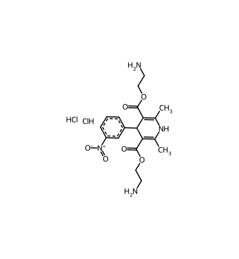 CC1=C(C(=O)OCCN)C(c2cccc([N+](=O)[O-])c2)C(C(=O)OCCN)=C(C)N1.Cl.Cl